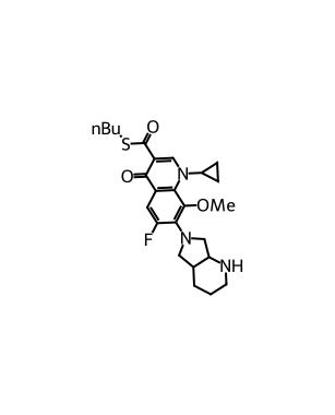 CCCCSC(=O)c1cn(C2CC2)c2c(OC)c(N3CC4CCCNC4C3)c(F)cc2c1=O